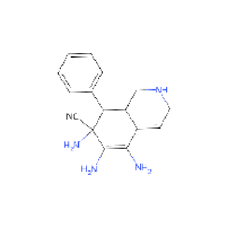 N#CC1(N)C(N)=C(N)C2=CCNCC2C1c1ccccc1